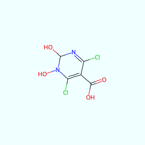 O=C(O)C1=C(Cl)N(O)C(O)N=C1Cl